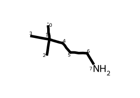 [CH2]C(C)(C)CCCN